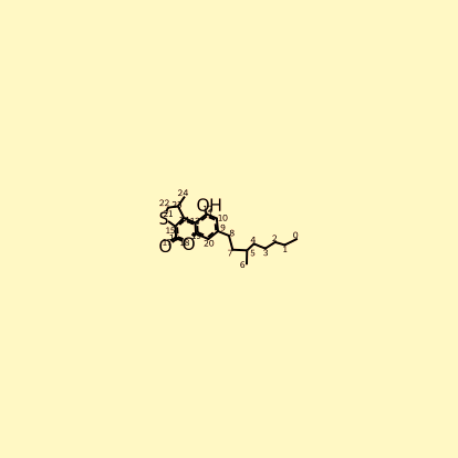 CCCCCC(C)CCc1cc(O)c2c3c(c(=O)oc2c1)SCC3C